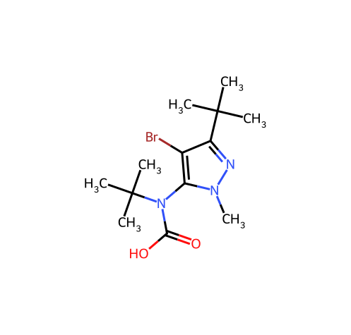 Cn1nc(C(C)(C)C)c(Br)c1N(C(=O)O)C(C)(C)C